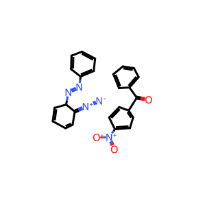 O=C(c1ccccc1)c1ccc([N+](=O)[O-])cc1.[N-]=[N+]=C1C=CC=CC1N=Nc1ccccc1